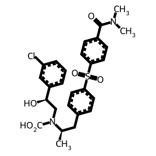 C[C@H](Cc1ccc(S(=O)(=O)c2ccc(C(=O)N(C)C)cc2)cc1)N(C[C@@H](O)c1cccc(Cl)c1)C(=O)O